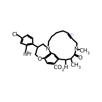 CCCc1cc(Cl)ccc1C1COc2ccc3cc2N(CCCC/C=C/CN(C)C(=O)C(C)C3C(=O)O)C1